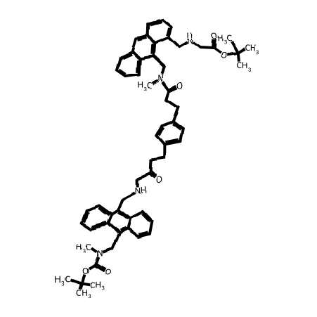 CN(Cc1c2ccccc2cc2cccc(CNCC(=O)OC(C)(C)C)c12)C(=O)CCc1ccc(CCC(=O)CNCc2c3ccccc3c(CN(C)C(=O)OC(C)(C)C)c3ccccc23)cc1